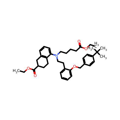 CCOC(=O)CCCCN(CCc1ccccc1OCc1ccc(C(C)(C)C)cc1)c1cccc2c1CCC(C(=O)OCC)C2